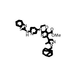 COC(=O)c1c(-c2cnn(CC34CC5CC(CC(C5)C3)C4)c2C)cnc2c1OCCN2c1ccc(Nc2nc3ccccc3s2)nc1